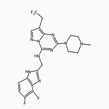 CN1CCN(c2nc(NCc3nc4c(F)c(F)ccc4[nH]3)n3ncc(CC(F)(F)F)c3n2)CC1